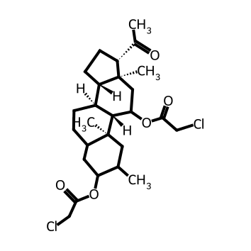 CC(=O)[C@H]1CC[C@H]2[C@@H]3CCC4CC(OC(=O)CCl)C(C)C[C@]4(C)[C@H]3C(OC(=O)CCl)C[C@]12C